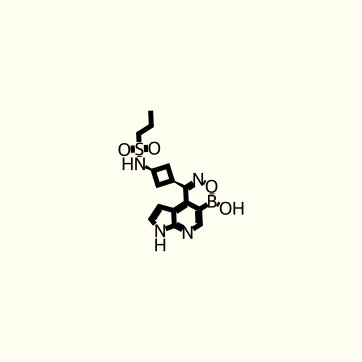 CCCS(=O)(=O)N[C@H]1C[C@@H](C2=NOB(O)c3cnc4[nH]ccc4c32)C1